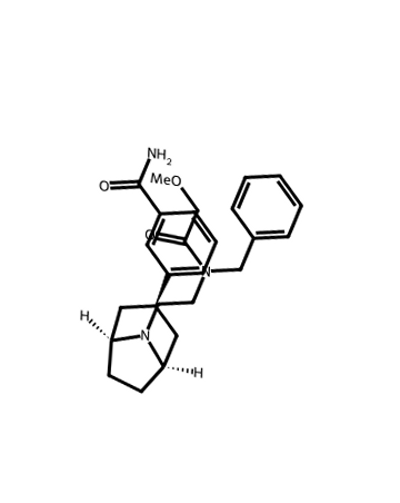 COCC(=O)N(CCN1[C@@H]2CC[C@H]1C[C@@H](c1cccc(C(N)=O)c1)C2)Cc1ccccc1